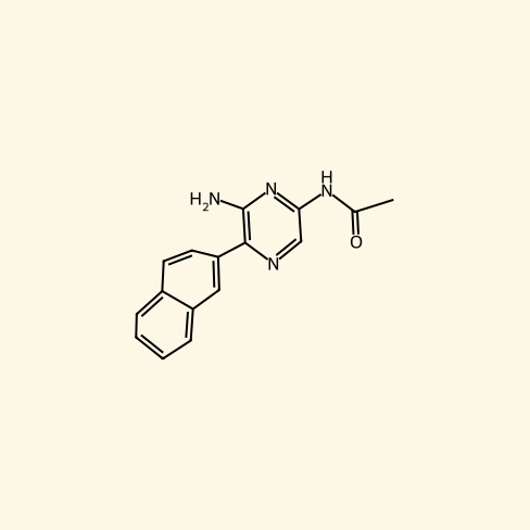 CC(=O)Nc1cnc(-c2ccc3ccccc3c2)c(N)n1